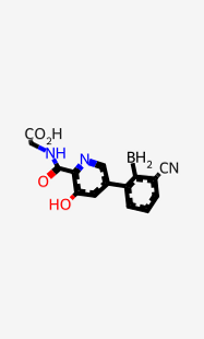 Bc1c(C#N)cccc1-c1cnc(C(=O)NCC(=O)O)c(O)c1